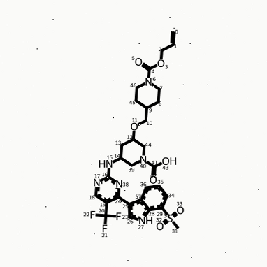 C=CCOC(=O)N1CCC(COC2CC(Nc3ncc(C(F)(F)F)c(-c4c[nH]c5c(S(C)(=O)=O)cccc45)n3)CN(C(=O)O)C2)CC1